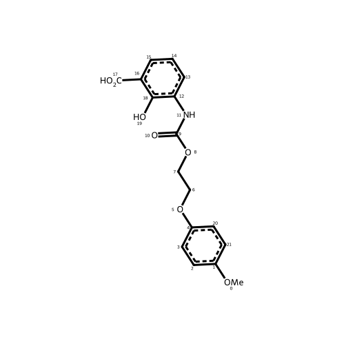 COc1ccc(OCCOC(=O)Nc2cccc(C(=O)O)c2O)cc1